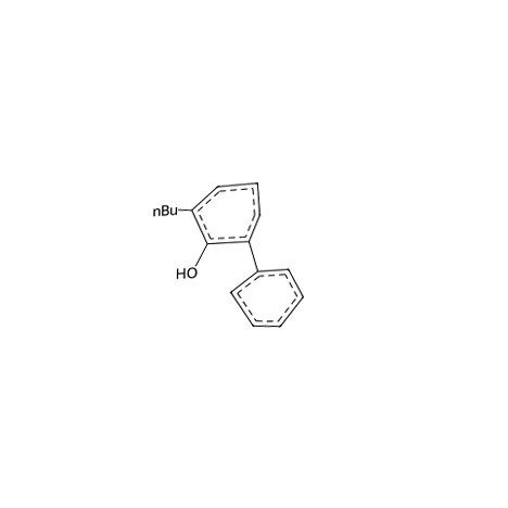 CCCCc1cccc(-c2ccccc2)c1O